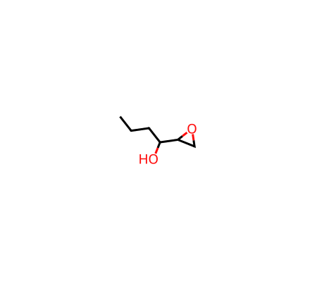 CCCC(O)C1CO1